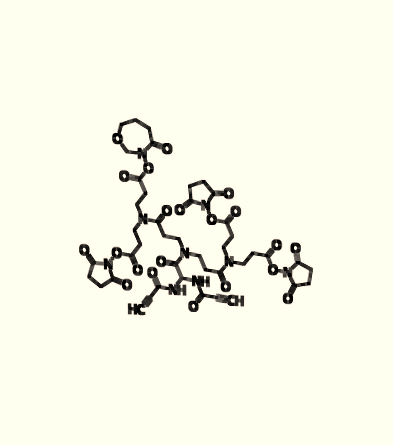 C#CC(=O)NC(NC(=O)C#C)C(=O)N(CCC(=O)N(CCC(=O)ON1COCCCC1=O)CCC(=O)ON1C(=O)CCC1=O)CCC(=O)N(CCC(=O)ON1C(=O)CCC1=O)CCC(=O)ON1C(=O)CCC1=O